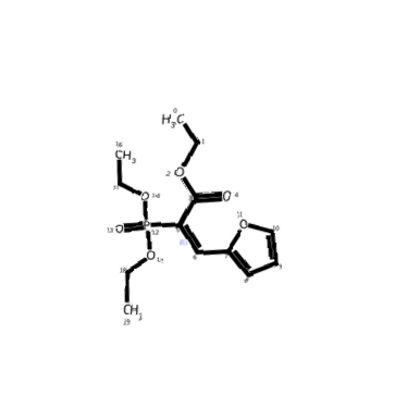 CCOC(=O)/C(=C\c1ccco1)P(=O)(OCC)OCC